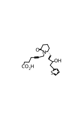 O=C(O)CCCC#CCN1C(=O)CCC[C@@H]1/C=C/C(O)Cc1cccs1